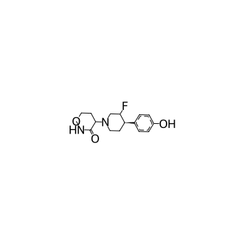 O=C1NOCCC1N1CC[C@H](c2ccc(O)cc2)C(F)C1